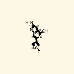 Cn1cc(-c2cn3nc(N)cc3c(O)n2)cn1